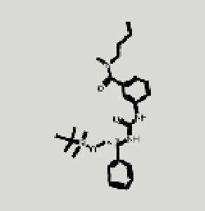 CCCCN(C)C(=O)c1cccc(NC(=O)N[C@@H](CO[Si](C)(C)C(C)(C)C)c2ccccc2)c1